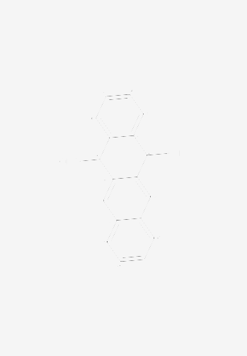 O=CC1c2ccccc2C(C=O)c2cc3ccccc3cc21